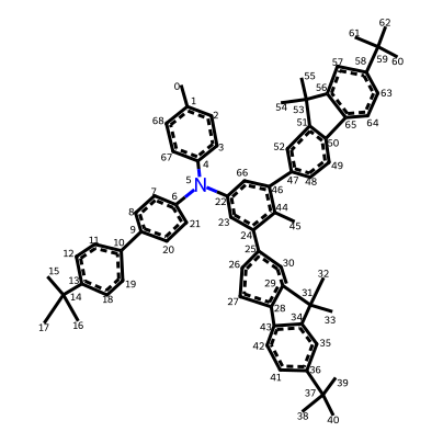 Cc1ccc(N(c2ccc(-c3ccc(C(C)(C)C)cc3)cc2)c2cc(-c3ccc4c(c3)C(C)(C)c3cc(C(C)(C)C)ccc3-4)c(C)c(-c3ccc4c(c3)C(C)(C)c3cc(C(C)(C)C)ccc3-4)c2)cc1